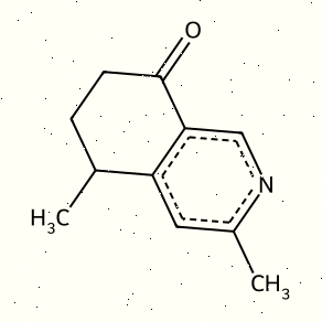 Cc1cc2c(cn1)C(=O)CCC2C